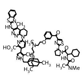 CNC(C)C(=O)NC(C(=O)N1CCC[C@H]1c1nc(C(=O)c2cccc(OCCN(C)CCOC34CC5(C)CC(C)(CC(Cn6ncc(-c7ccc(N8CCCc9c8nnc(Nc8nc%10ccccc%10s8)c9C)nc7C(=O)O)c6C)(C5)C3)C4)c2)cs1)C1CCCCC1